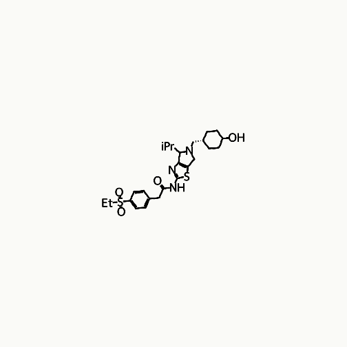 CCS(=O)(=O)c1ccc(CC(=O)Nc2nc3c(s2)CN(C[C@H]2CC[C@H](O)CC2)C3C(C)C)cc1